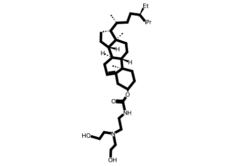 CC[C@H](CC[C@@H](C)[C@H]1CC[C@H]2[C@@H]3CC=C4C[C@@H](OC(=O)NCCN(CCO)CCO)CC[C@]4(C)[C@H]3CC[C@]12C)C(C)C